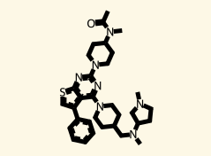 CC(=O)N(C)C1CCN(c2nc(N3CCC(CN(C)C4CCN(C)C4)CC3)c3c(-c4ccccc4)csc3n2)CC1